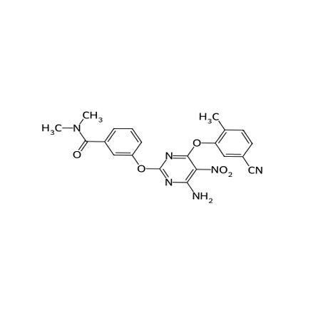 Cc1ccc(C#N)cc1Oc1nc(Oc2cccc(C(=O)N(C)C)c2)nc(N)c1[N+](=O)[O-]